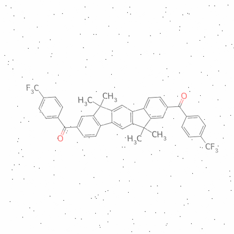 CC1(C)c2cc(C(=O)c3ccc(C(F)(F)F)cc3)ccc2-c2cc3c(cc21)-c1ccc(C(=O)c2ccc(C(F)(F)F)cc2)cc1C3(C)C